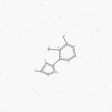 Cc1coc(-c2cccc(C)c2Br)n1